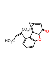 O=C(O)/C=C(/C(=O)O)c1cccc2c1C1=C3CC3=CC(=O)C1O2